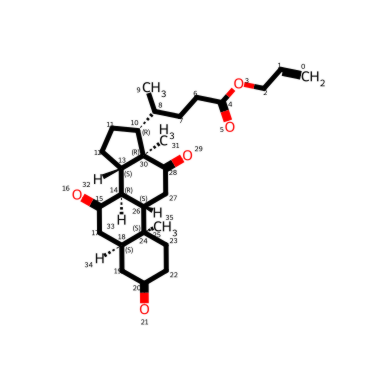 C=CCOC(=O)CCC(C)[C@H]1CC[C@H]2[C@@H]3C(=O)C[C@@H]4CC(=O)CC[C@]4(C)[C@H]3CC(=O)[C@]12C